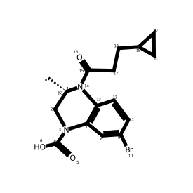 C[C@H]1CN(C(=O)O)c2cc(Br)ccc2N1C(=O)CCC1CC1